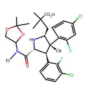 CCN(C(=O)[C@@H]1N[C@@H](CC(C)(C)C(=O)O)[C@](C#N)(c2ccc(Cl)cc2F)[C@H]1c1cccc(Cl)c1F)C1COC(C)(C)O1